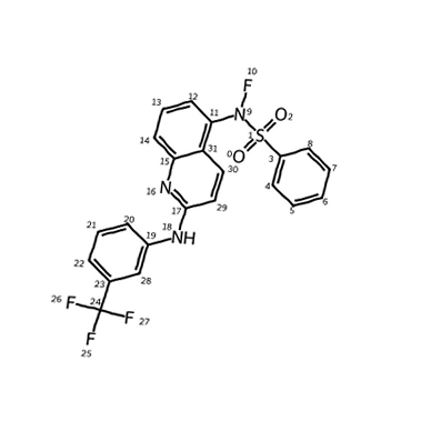 O=S(=O)(c1ccccc1)N(F)c1cccc2nc(Nc3cccc(C(F)(F)F)c3)ccc12